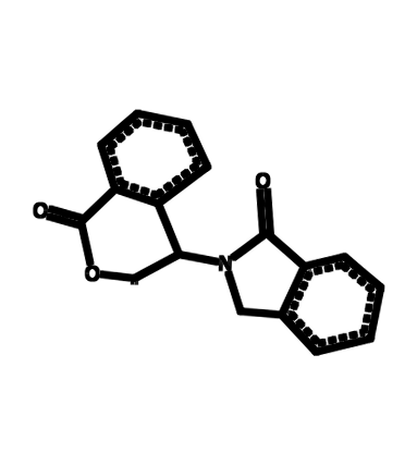 O=C1O[C]C(N2Cc3ccccc3C2=O)c2ccccc21